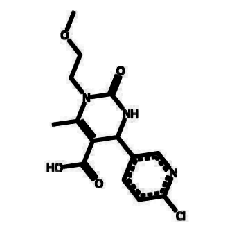 COCCN1C(=O)NC(c2ccc(Cl)nc2)C(C(=O)O)=C1C